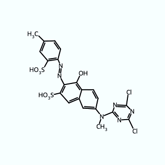 Cc1ccc(N=Nc2c(S(=O)(=O)O)cc3cc(N(C)c4nc(Cl)nc(Cl)n4)ccc3c2O)c(S(=O)(=O)O)c1